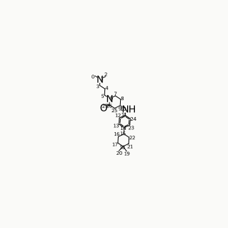 CN(C)CCCN1CCC(Nc2ccc(C3CCC(C)(C)CC3)cc2)CC1=O